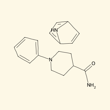 NC(=O)C1CCN(c2ccccc2)CC1.c1cc2ccc1[nH]2